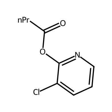 CCCC(=O)Oc1ncccc1Cl